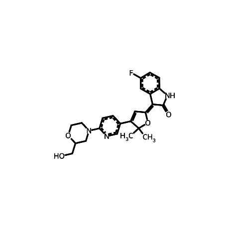 CC1(C)OC(=C2C(=O)Nc3ccc(F)cc32)C=C1c1ccc(N2CCOC(CO)C2)nc1